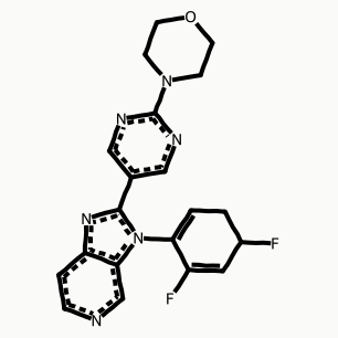 FC1=CC(F)CC=C1n1c(-c2cnc(N3CCOCC3)nc2)nc2ccncc21